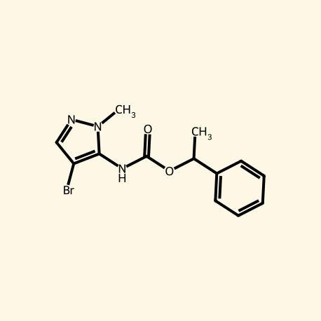 CC(OC(=O)Nc1c(Br)cnn1C)c1ccccc1